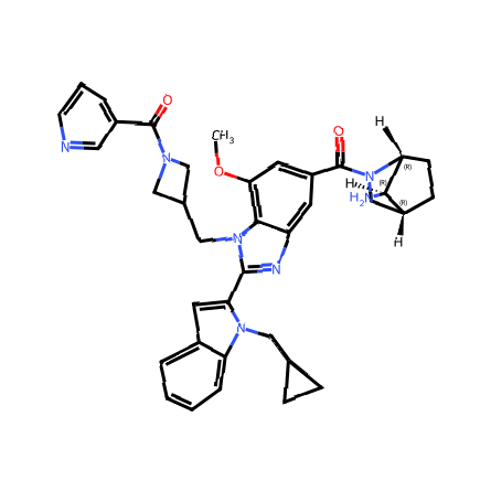 COc1cc(C(=O)N2C[C@H]3CC[C@@H]2[C@@H]3N)cc2nc(-c3cc4ccccc4n3CC3CC3)n(CC3CN(C(=O)c4cccnc4)C3)c12